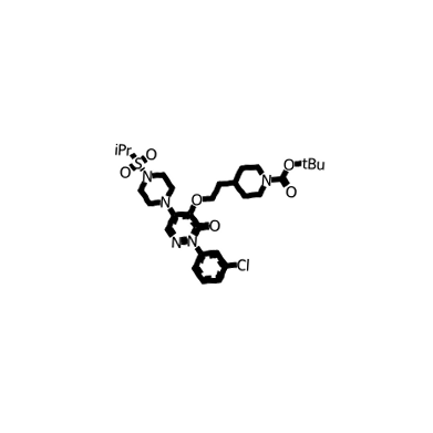 CC(C)S(=O)(=O)N1CCN(c2cnn(-c3cccc(Cl)c3)c(=O)c2OCCC2CCN(C(=O)OC(C)(C)C)CC2)CC1